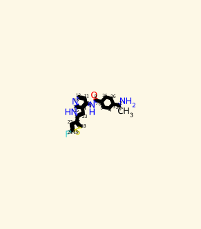 CC(N)C1CCC(C(=O)Nc2ccnc3[nH]c(-c4csc(F)c4)cc23)CC1